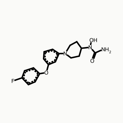 NC(=O)N(O)C1CCN(c2cccc(Oc3ccc(F)cc3)c2)CC1